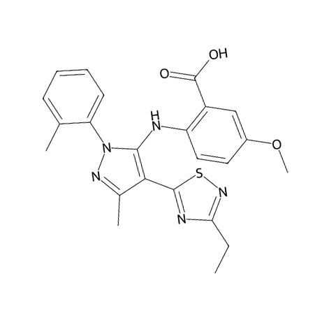 CCc1nsc(-c2c(C)nn(-c3ccccc3C)c2Nc2ccc(OC)cc2C(=O)O)n1